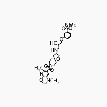 CNS(=O)(=O)c1cccc(OCC(O)CN[C@H]2COC3(CCN(S(=O)(=O)c4cc5c(nc4C)OCCN5C)CC3)C2)c1